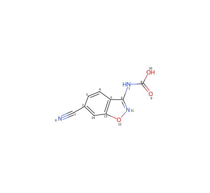 N#Cc1ccc2c(NC(=O)O)noc2c1